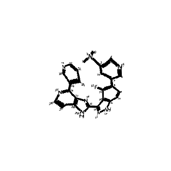 CN(C)c1cncc(-c2ccc3[nH]nc(-c4nc5c(-c6cccnc6)nccc5[nH]4)c3c2F)c1